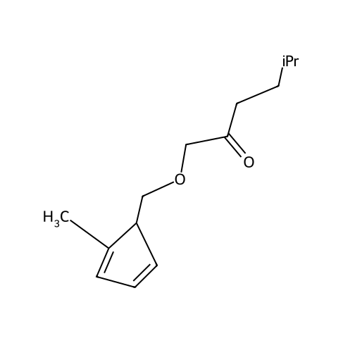 CC1=CC=CC1COCC(=O)CCC(C)C